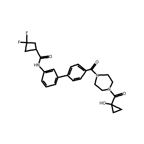 O=C(Nc1cccc(-c2ccc(C(=O)N3CCN(C(=O)C4(O)CC4)CC3)cc2)c1)C1CC(F)(F)C1